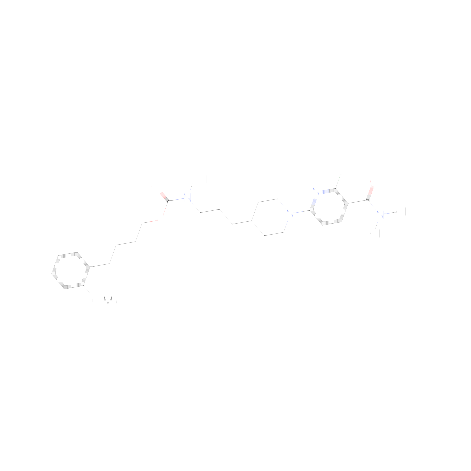 COc1ccccc1CCCCOC(=O)N(C)CCCC1CCN(c2ccc(C(=O)N(C)C)c(Cl)n2)CC1